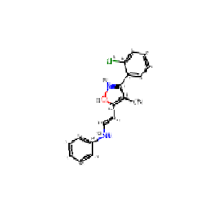 N#Cc1c(-c2ccccc2Cl)noc1C=CNc1ccccc1